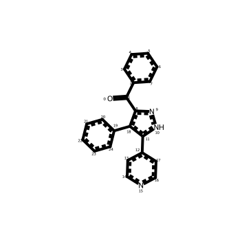 O=C(c1ccccc1)c1n[nH]c(-c2ccncc2)c1-c1ccccc1